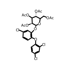 CC(=O)OCC1O[C@@H](Oc2cc(Cl)ccc2Oc2ccc(Cl)cc2Cl)[C@@H](OC(C)=O)C(OC(C)=O)[C@@H]1OC(C)=O